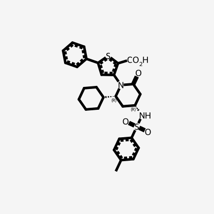 Cc1ccc(S(=O)(=O)N[C@H]2CC(=O)N(c3cc(-c4ccccc4)sc3C(=O)O)[C@@H](C3CCCCC3)C2)cc1